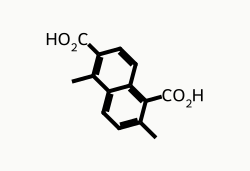 Cc1ccc2c(C)c(C(=O)O)ccc2c1C(=O)O